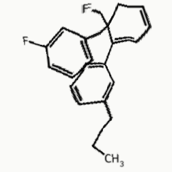 CCCc1cccc(C2=CC=CCC2(F)c2cccc(F)c2)c1